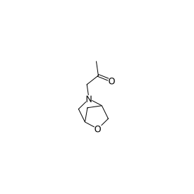 CC(=O)CN1CC2CC1CO2